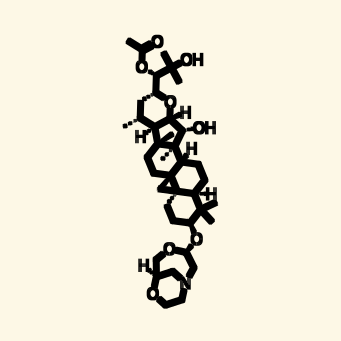 CC(=O)O[C@@H]([C@H]1C[C@@H](C)[C@H]2[C@H](O1)[C@H](O)[C@@]1(C)[C@@H]3CC[C@H]4C(C)(C)[C@@H](O[C@H]5CN6CCO[C@@H](CO5)C6)CC[C@@]45C[C@@]35CC[C@]21C)C(C)(C)O